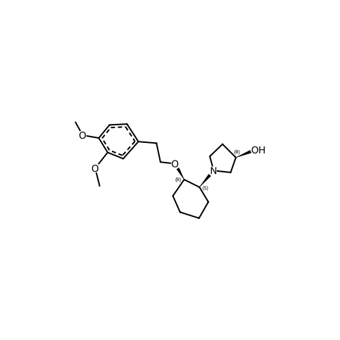 COc1ccc(CCO[C@@H]2CCCC[C@@H]2N2CC[C@@H](O)C2)cc1OC